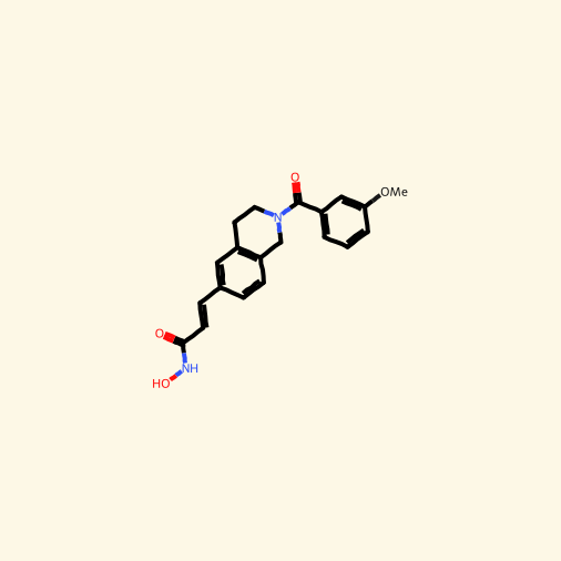 COc1cccc(C(=O)N2CCc3cc(/C=C/C(=O)NO)ccc3C2)c1